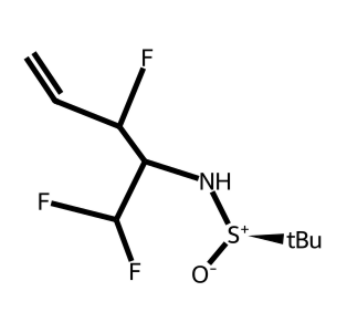 C=CC(F)C(N[S@+]([O-])C(C)(C)C)C(F)F